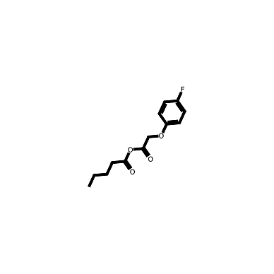 CCC[CH]C(=O)OC(=O)COc1ccc(F)cc1